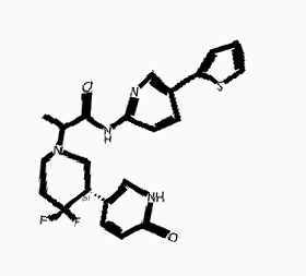 CC(C(=O)Nc1ccc(-c2cccs2)cn1)N1CCC(F)(F)[C@@H](c2ccc(=O)[nH]c2)C1